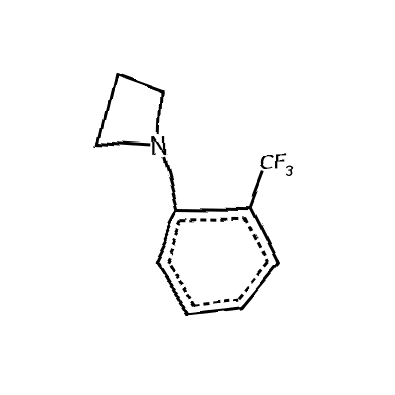 FC(F)(F)c1ccccc1N1CCC1